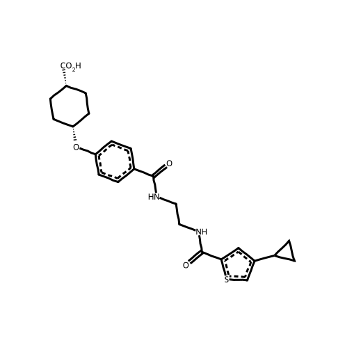 O=C(NCCNC(=O)c1cc(C2CC2)cs1)c1ccc(O[C@H]2CC[C@@H](C(=O)O)CC2)cc1